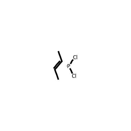 CC=CC.Cl[P]Cl